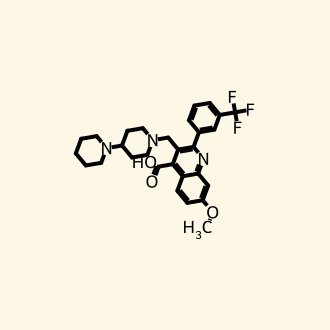 COc1ccc2c(C(=O)O)c(CN3CCC(N4CCCCC4)CC3)c(-c3cccc(C(F)(F)F)c3)nc2c1